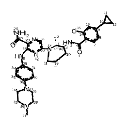 C[C@@H]1[C@H](NC(=O)c2ccc(C3CC3)cc2Cl)CCCN1c1cnc(C(N)=O)c(Nc2ccc(N3CCN(C)CC3)cc2)n1